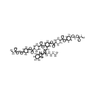 C=CC(=O)OCOc1ccc(OC(=O)C2CCC(C(=O)Oc3ccc(OC(=O)C4CCC(C(=O)Oc5ccc(OCOC(=O)C=C)cc5)CC4)c(/C=N/N(CCCCCC)c4nc5ccccc5s4)c3)CC2)cc1